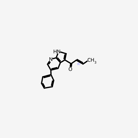 C/C=C/C(=O)c1c[nH]c2ncc(-c3ccccc3)cc12